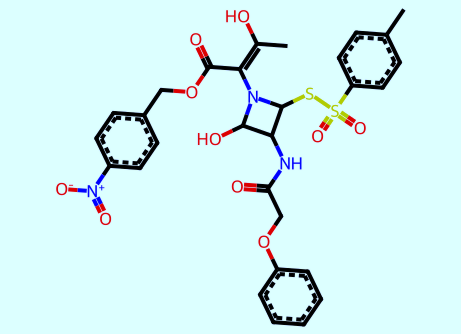 C/C(O)=C(/C(=O)OCc1ccc([N+](=O)[O-])cc1)N1C(O)C(NC(=O)COc2ccccc2)C1SS(=O)(=O)c1ccc(C)cc1